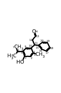 Cc1cc(O)c(C(C)C)cc1C(CC=O)c1ccccc1